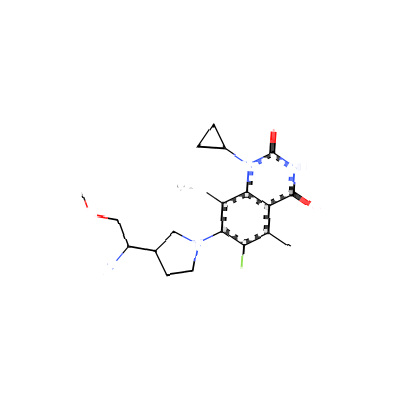 COc1c(N2CCC(C(N)COC(F)(F)F)C2)c(F)c(C)c2c(=O)[nH]c(=O)n(C3CC3)c12